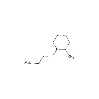 [CH]NCCCN1CCCCC1C